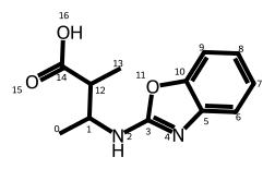 CC(Nc1nc2ccccc2o1)C(C)C(=O)O